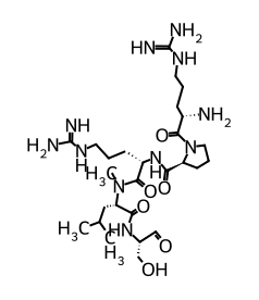 CC(C)C[C@@H](C(=O)N[C@H](C=O)CO)N(C)C(=O)[C@H](CCCNC(=N)N)NC(=O)[C@@H]1CCCN1C(=O)[C@@H](N)CCCNC(=N)N